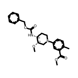 COC(=O)c1cc(N2CC[C@@H](NC(=O)OCc3ccccc3)[C@@H](OC)C2)ccc1C